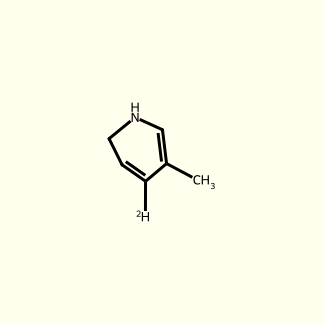 [2H]C1=CCNC=C1C